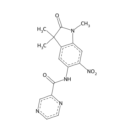 CN1C(=O)C(C)(C)c2cc(NC(=O)c3cnccn3)c([N+](=O)[O-])cc21